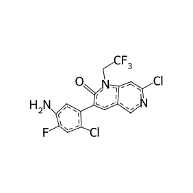 Nc1cc(-c2cc3cnc(Cl)cc3n(CC(F)(F)F)c2=O)c(Cl)cc1F